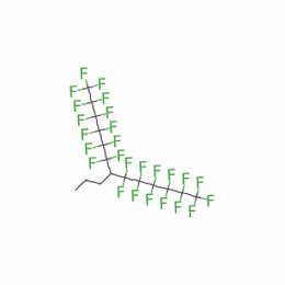 CCCC(C(F)(F)C(F)(F)C(F)(F)C(F)(F)C(F)(F)C(F)(F)F)C(F)(F)C(F)(F)C(F)(F)C(F)(F)C(F)(F)C(F)(F)F